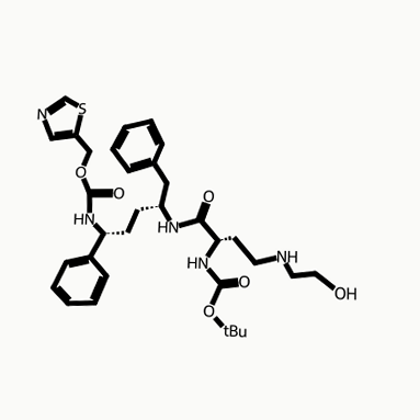 CC(C)(C)OC(=O)N[C@@H](CCNCCO)C(=O)N[C@H](CC[C@@H](NC(=O)OCc1cncs1)c1ccccc1)Cc1ccccc1